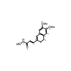 CCCCNC(=O)C=CC1=Cc2cc(OC)c(OC)cc2CC1